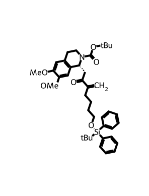 C=C(CCCCO[Si](c1ccccc1)(c1ccccc1)C(C)(C)C)C(=O)C[C@@H]1c2cc(OC)c(OC)cc2CCN1C(=O)OC(C)(C)C